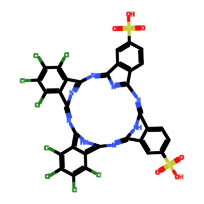 O=S(=O)(O)c1ccc2c(c1)-c1nc-2nc2[nH]c(nc3[nH]c(nc4nc(n1)-c1c(Cl)c(Cl)c(Cl)c(Cl)c1-4)c1c(Cl)c(Cl)c(Cl)c(Cl)c31)c1cc(S(=O)(=O)O)ccc21